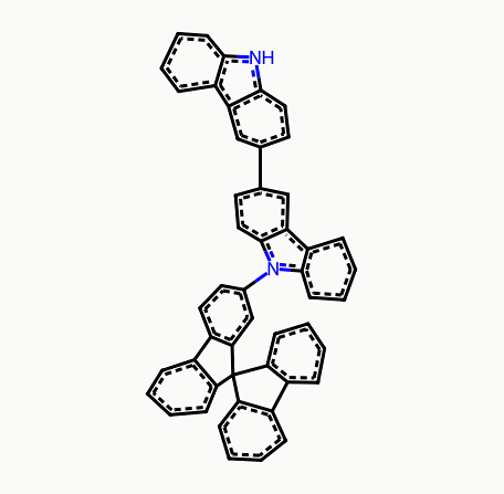 c1ccc2c(c1)-c1ccccc1C21c2ccccc2-c2ccc(-n3c4ccccc4c4cc(-c5ccc6[nH]c7ccccc7c6c5)ccc43)cc21